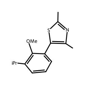 COc1c(-c2sc(C)nc2C)cccc1C(C)C